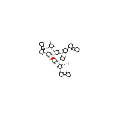 Cc1cc(C)c(N2c3cc4c(cc3B3c5ccccc5Oc5cc(-c6cccc7c6oc6ccccc67)cc2c53)B2c3cc5c(cc3Oc3cc(-c6cccc7c6oc6ccccc67)cc(c32)O4)Nc2cc(-c3cccc4c3oc3ccccc34)cc3c2B5c2ccccc2O3)c(C)c1